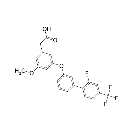 COc1cc(CC(=O)O)cc(Oc2cccc(-c3ccc(C(F)(F)F)cc3F)c2)c1